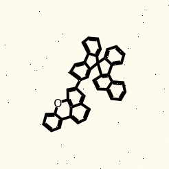 c1ccc2c(c1)Oc1cc(-c3ccc4c(c3)C3(c5ccccc5-4)c4ccccc4-c4c3ccc3ccccc43)cc3cccc-2c13